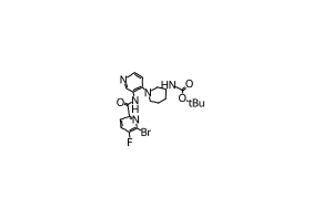 CC(C)(C)OC(=O)NC1CCCN(c2ccncc2NC(=O)c2ccc(F)c(Br)n2)C1